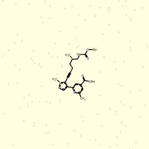 COC(=O)c1cc(C)nc(-c2cnn(C)c2C#CCC[C@@H](C)CNC(=O)OC(C)(C)C)c1